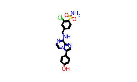 NS(=O)(=O)c1ccc(CNc2nccn3c(-c4ccc(O)cc4)cnc23)cc1Cl